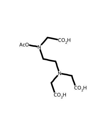 CC(=O)ON(CCN(CC(=O)O)CC(=O)O)CC(=O)O